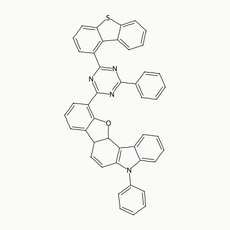 C1=CC2c3cccc(-c4nc(-c5ccccc5)nc(-c5cccc6sc7ccccc7c56)n4)c3OC2c2c1n(-c1ccccc1)c1ccccc21